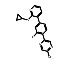 Nc1cnc(-c2ccc(-c3cccnc3SC3CC3)cc2F)cn1